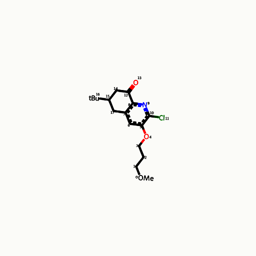 COCCCOc1cc2c(nc1Cl)C(=O)CC(C(C)(C)C)C2